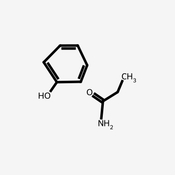 CCC(N)=O.Oc1ccccc1